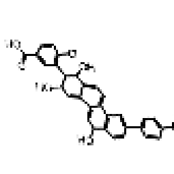 O=C(O)c1ccc(Cl)c(C2C(O)C=c3c(ccc4c3=CC(O)c3ccc(-c5ccc([N+](=O)[O-])cc5)cc3-4)C2O)c1